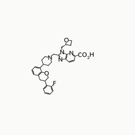 O=C(O)c1ccc2nc(CN3CCC(c4cccc5c4OCC(c4ccccc4F)C5)CC3)n(C[C@@H]3CCO3)c2n1